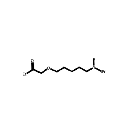 CCC(=O)COCCCCCN(C)C(C)C